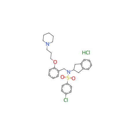 Cl.O=S(=O)(c1ccc(Cl)cc1)N(Cc1ccccc1OCCCN1CCCCC1)C1Cc2ccccc2C1